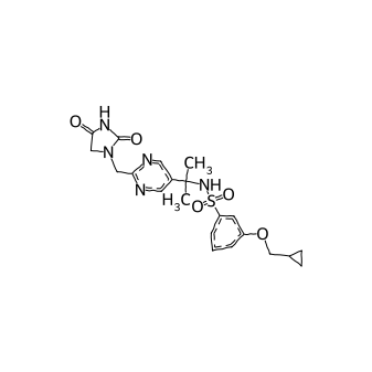 CC(C)(NS(=O)(=O)c1cccc(OCC2CC2)c1)c1cnc(CN2CC(=O)NC2=O)nc1